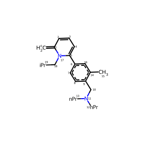 C=C1C=CC=C(c2ccc(CN(CCC)CCC)c(C)c2)N1CC(C)C